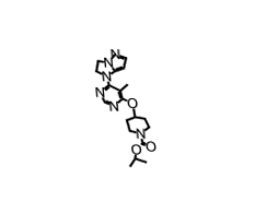 Cc1c(OC2CCN(C(=O)OC(C)C)CC2)ncnc1N1CCn2nccc21